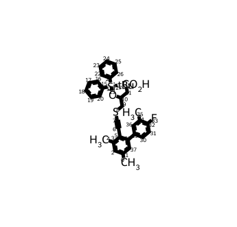 Cc1cc(C)c(C#CSCC(CC(=O)O)O[Si](c2ccccc2)(c2ccccc2)C(C)(C)C)c(-c2ccc(F)c(C)c2)c1